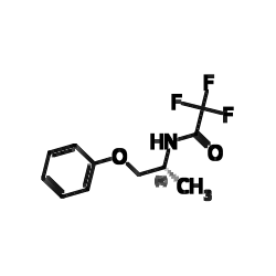 C[C@H](COc1ccccc1)NC(=O)C(F)(F)F